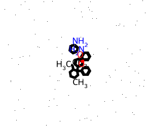 CC1CCC(C(C)C)C(c2ccc(Oc3cccc(N)c3)cc2)(c2ccccc2Oc2cccc(N)c2)C1